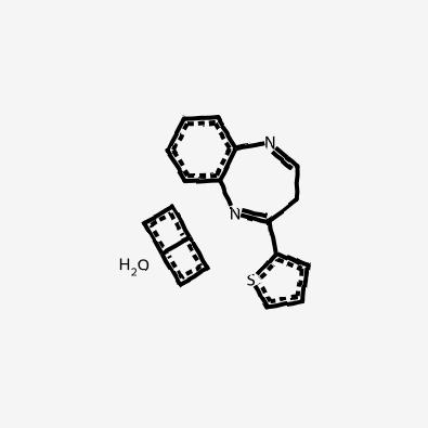 C1=Nc2ccccc2N=C(c2cccs2)C1.O.c1cc2ccc1-2